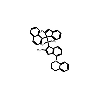 CC1=Cc2c(cccc2N2CCCc3ccccc32)C1[Si](C)(C)C1(c2cccc3ccccc23)C(C)=Cc2ccccc21